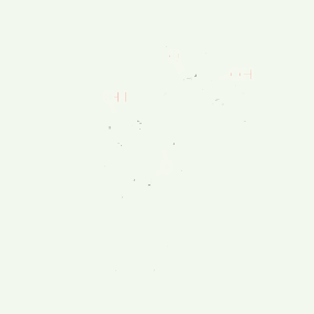 CCCC[Si](CCCC)(CCCC)OC1C2=C(C)C3(CC3)C(C)(O)C(=O)C2=CC1(C)CO